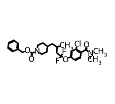 CC(CC1CCN(C(=O)OCc2ccccc2)CC1)CC(F)(F)Oc1ccc(C(=O)N(C)C)c(Cl)c1